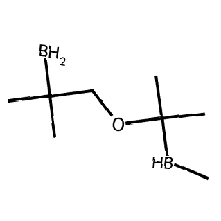 BC(C)(C)COC(C)(C)BC